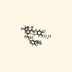 O=C(NCc1ccc2oc(=O)[nH]c2c1)c1cc(C(=O)NCc2ccc(C(=O)O)c(Cl)c2)n2ncc(F)c2n1